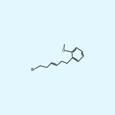 COc1ccccc1CC/C=C/CCBr